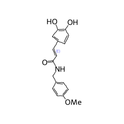 COc1ccc(CNC(=O)/C=C/c2ccc(O)c(O)c2)cc1